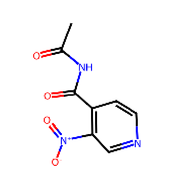 CC(=O)NC(=O)c1ccncc1[N+](=O)[O-]